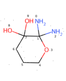 NC1(N)OCCCC1(O)O